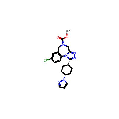 CC(C)(C)OC(=O)N1Cc2cc(Cl)ccc2-n2c(nnc2[C@H]2CC[C@H](n3cccn3)CC2)C1